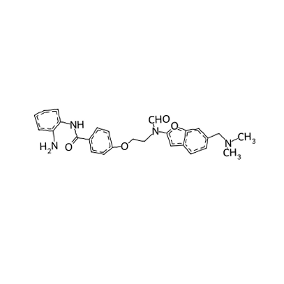 CN(C)Cc1ccc2cc(N(C=O)CCOc3ccc(C(=O)Nc4ccccc4N)cc3)oc2c1